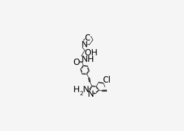 C#Cc1cnc(N)c(C#Cc2ccc(C(=O)NCC(O)CN3CCCCC3)cc2)c1/C=C(\C)Cl